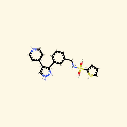 O=S(=O)(NCc1cccc(-c2n[nH]cc2-c2ccncc2)c1)c1cccs1